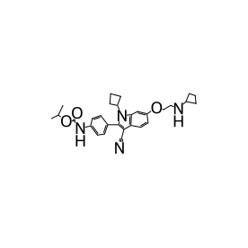 CC(C)OC(=O)Nc1ccc(-c2c(C#N)c3ccc(OCCNC4CCC4)cc3n2C2CCC2)cc1